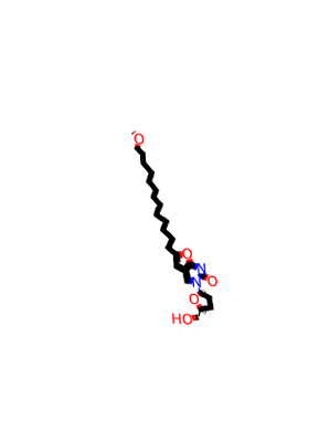 COCCCCCCCCCCCCCc1cc2cn([C@@H]3CC[C@H](CO)O3)c(=O)nc2o1